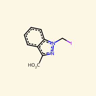 O=C(O)c1nn(CI)c2ccccc12